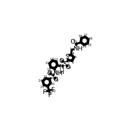 O=C(NCc1ccc(S(=O)(=O)Nc2ccccc2NS(=O)(=O)c2cccc(C(F)(F)F)c2)s1)c1ccccc1